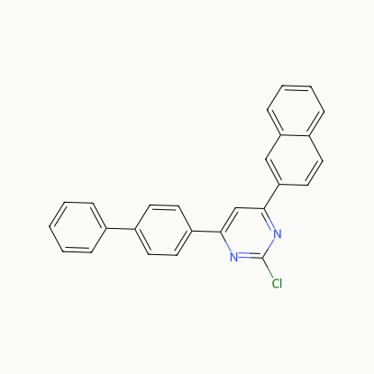 Clc1nc(-c2ccc(-c3ccccc3)cc2)cc(-c2ccc3ccccc3c2)n1